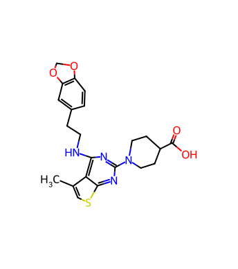 Cc1csc2nc(N3CCC(C(=O)O)CC3)nc(NCCc3ccc4c(c3)OCO4)c12